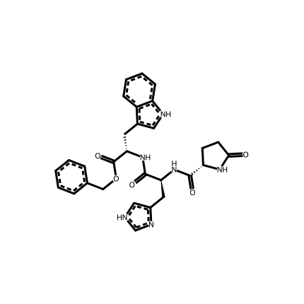 O=C1CC[C@@H](C(=O)N[C@@H](Cc2c[nH]cn2)C(=O)N[C@@H](Cc2c[nH]c3ccccc23)C(=O)OCc2ccccc2)N1